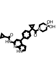 O=C(Nc1cc(-c2ccc(C3(C(=O)N4CCS(O)(O)CC4)CC3)cc2)c2cc[nH]c2n1)C1CC1